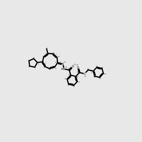 CC1=C/C(C2CCCC2)=C\C=C/C(=N\NC(=O)c2ccccc2C(=O)OCc2ccccc2)/C=C\1